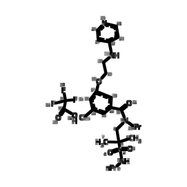 CCCNS(=O)(=O)C(C)(C)CN(C(=O)c1cc(Cl)cc(OCCNc2ccncc2)c1)C(C)C.O=C(O)C(F)(F)F